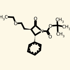 CCOCC[C@H]1C(=O)N(C(=O)OC(C)(C)C)[C@@H]1c1ccccc1